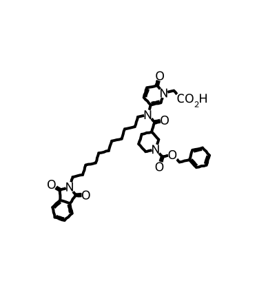 O=C(O)Cn1cc(N(CCCCCCCCCCCN2C(=O)c3ccccc3C2=O)C(=O)C2CCCN(C(=O)OCc3ccccc3)C2)ccc1=O